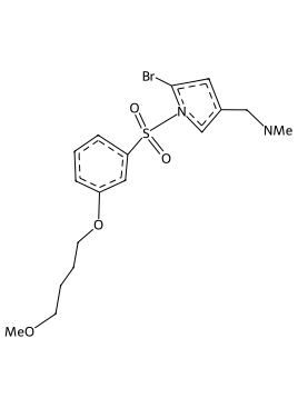 CNCc1cc(Br)n(S(=O)(=O)c2cccc(OCCCCOC)c2)c1